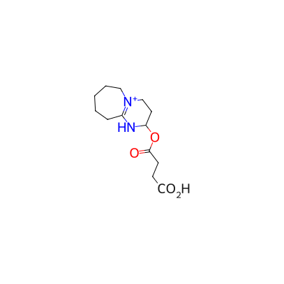 O=C(O)CCC(=O)OC1CC[N+]2=C(CCCCC2)N1